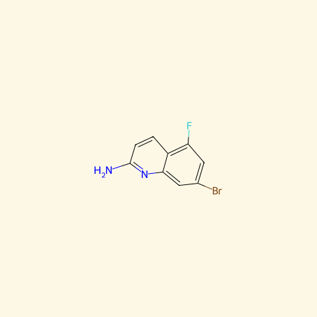 Nc1ccc2c(F)cc(Br)cc2n1